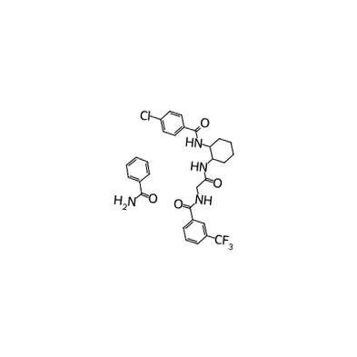 NC(=O)c1ccccc1.O=C(CNC(=O)c1cccc(C(F)(F)F)c1)NC1CCCCC1NC(=O)c1ccc(Cl)cc1